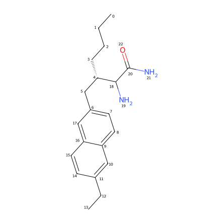 CCCC[C@@H](Cc1ccc2cc(CC)ccc2c1)C(N)C(N)=O